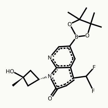 CC1(C)OB(c2cnc3c(c2)c(C(F)F)cc(=O)n3[C@H]2C[C@@](C)(O)C2)OC1(C)C